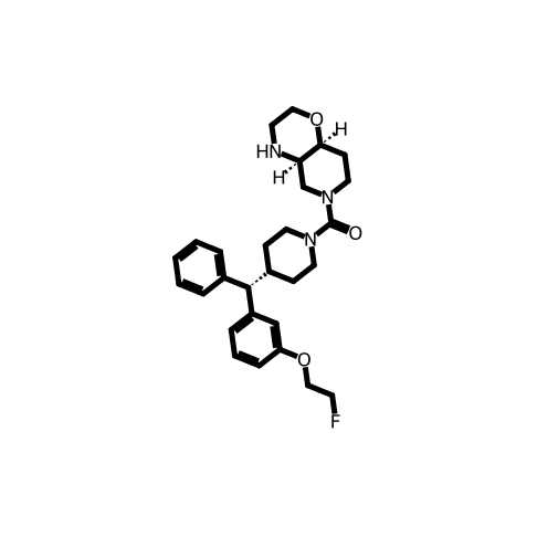 O=C(N1CCC([C@@H](c2ccccc2)c2cccc(OCCF)c2)CC1)N1CC[C@@H]2OCCN[C@@H]2C1